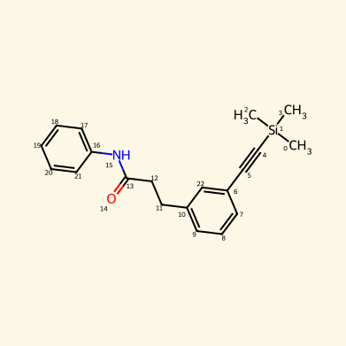 C[Si](C)(C)C#Cc1cccc(CCC(=O)Nc2ccccc2)c1